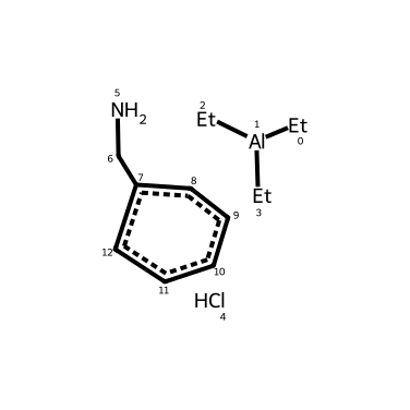 C[CH2][Al]([CH2]C)[CH2]C.Cl.NCc1ccccc1